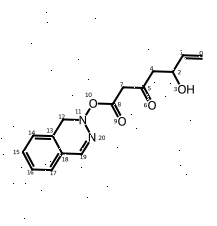 C=CC(O)CC(=O)CC(=O)ON1Cc2ccccc2C=N1